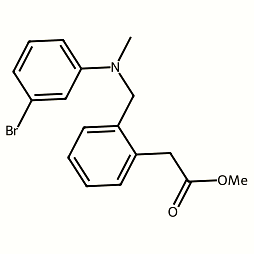 COC(=O)Cc1ccccc1CN(C)c1cccc(Br)c1